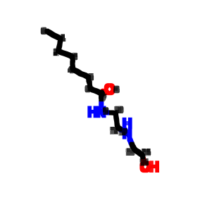 CCCCCCCC(=O)NCCNCCO